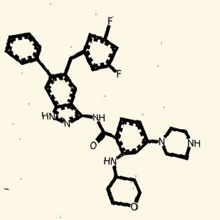 O=C(Nc1n[nH]c2cc(-c3ccccc3)c(Cc3cc(F)cc(F)c3)cc12)c1ccc(N2CCNCC2)cc1NC1CCOCC1